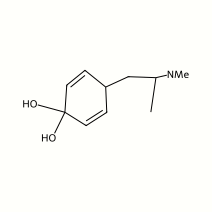 CNC(C)CC1C=CC(O)(O)C=C1